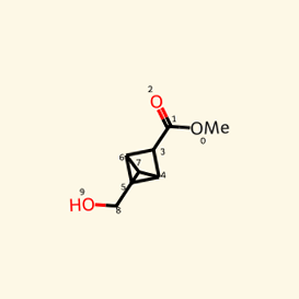 COC(=O)C1C2CC1C2CO